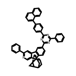 c1ccc(-c2cc3c(cn2)C2(c4ccc(-c5nc(-c6ccccc6)nc(-c6ccc(-c7cccc8ccccc78)cc6)n5)cc4-3)C3CC4CC(C3)C3CC32C4)cc1